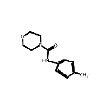 [CH2]c1ccc(NC(=O)N2CCOCC2)cc1